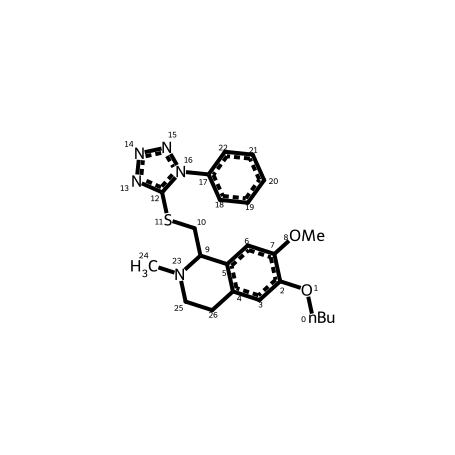 CCCCOc1cc2c(cc1OC)C(CSc1nnnn1-c1ccccc1)N(C)CC2